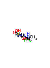 Cc1[nH]c(C(=O)NC2CCN(c3ncc(C(=O)O)s3)CC2O)c(Cl)c1Cl